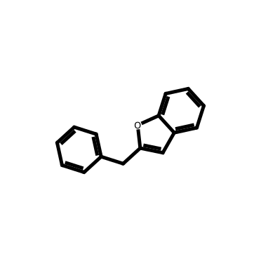 c1ccc(Cc2cc3ccccc3o2)cc1